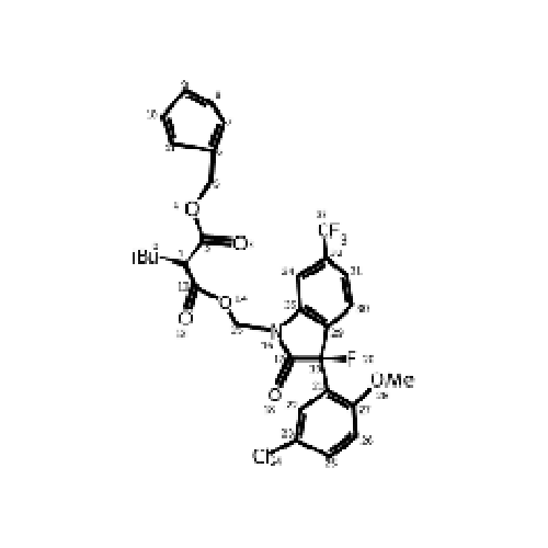 CC[C@H](C)[C@@H](C(=O)OCc1ccccc1)C(=O)OCN1C(=O)[C@@](F)(c2cc(Cl)ccc2OC)c2ccc(C(F)(F)F)cc21